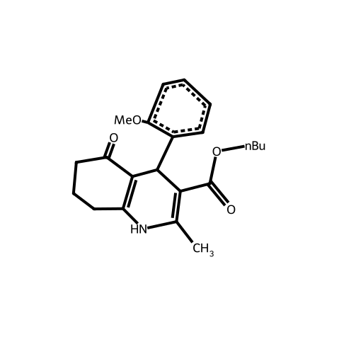 CCCCOC(=O)C1=C(C)NC2=C(C(=O)CCC2)C1c1ccccc1OC